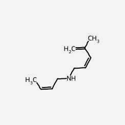 C=C(C)/C=C\CNC/C=C\C